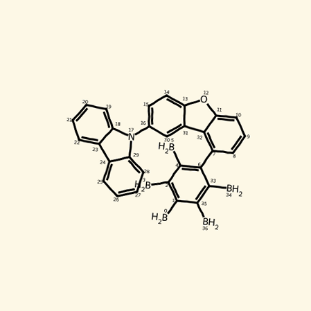 Bc1c(B)c(B)c(-c2cccc3oc4ccc(-n5c6ccccc6c6ccccc65)cc4c23)c(B)c1B